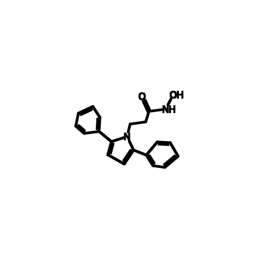 O=C(CCn1c(-c2ccccc2)ccc1-c1ccccc1)NO